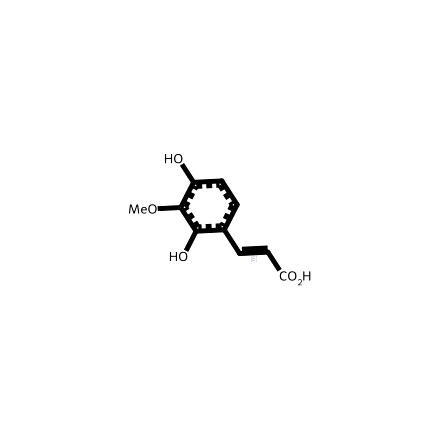 COc1c(O)ccc(/C=C/C(=O)O)c1O